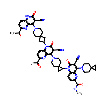 CNC(=O)c1ccc2c(n1)c(N1CCC3(CC1)CC3)c(C#N)c(=O)n2C1CC12CCN(c1c(C#N)c(=O)n(C3CC4(CCN(c5c(C#N)c(=O)[nH]c6ccc(C(C)O)nc56)CC4)C3)c3ccc(C(C)=O)nc13)CC2